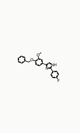 COc1cc(-c2c[nH]c(-c3ccc(F)cc3)n2)ccc1OCc1ccccc1